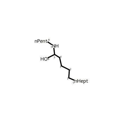 CCCCCCCCCCCC(O)NCCCCC